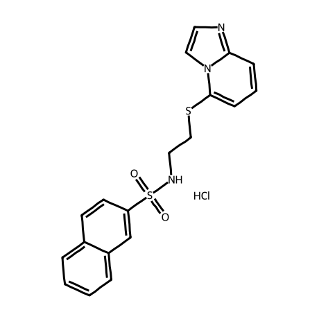 Cl.O=S(=O)(NCCSc1cccc2nccn12)c1ccc2ccccc2c1